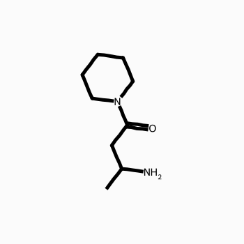 CC(N)CC(=O)N1CCCCC1